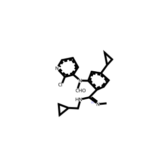 C/N=C(/NCC1CC1)c1ccc(C2CC2)cc1N(C=O)c1cccnc1Cl